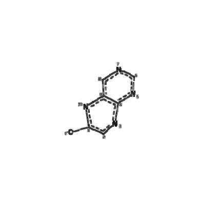 [O]c1cnc2ncncc2n1